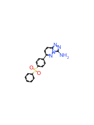 Nc1nnc2ccc(-c3ccc(S(=O)(=O)c4ccccc4)cc3)nn12